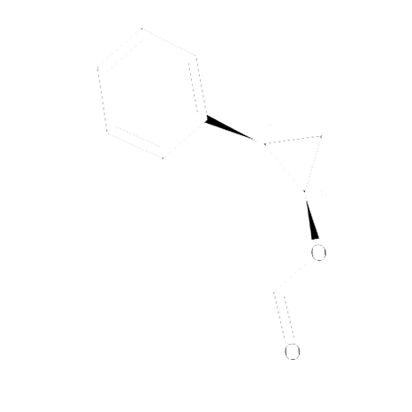 O=CO[C@@H]1C[C@@H]1c1ccccc1